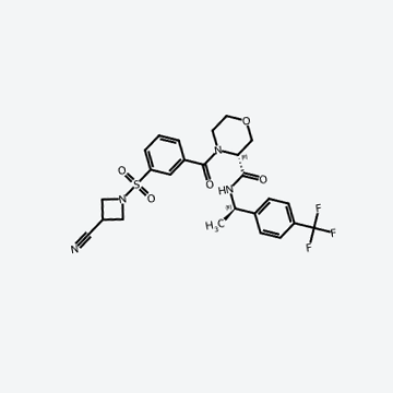 C[C@@H](NC(=O)[C@H]1COCCN1C(=O)c1cccc(S(=O)(=O)N2CC(C#N)C2)c1)c1ccc(C(F)(F)F)cc1